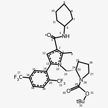 Cc1c(C(=O)NC2CCCCC2)cc(-c2cc(C(F)(F)F)ccc2C(F)(F)F)n1C[C@@H]1CCCN1C(=O)OC(C)(C)C